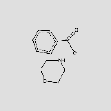 C1COCCN1.[O]C(=O)c1ccccc1